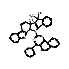 CC1(C)C2=C(c3ccccc31)N(c1nc(-c3ccccc3)c3ccc4ccccc4c3n1)C1c3oc4ccccc4c3C=CC21C